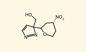 O=[N+]([O-])[C@@H]1CCOC(C2(CO)C=CN=N2)C1